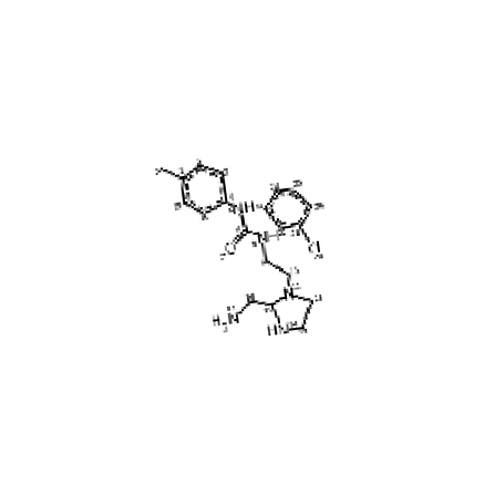 Cc1ccc(NC(=O)NCCN2CCNC2CN)cc1.Clc1ccccc1